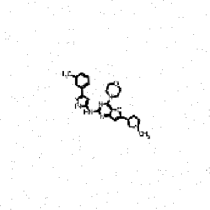 Cc1cccc(-c2cc(Nc3nc(N4CCOCC4)c4oc(C5CCN(C)C5)cc4n3)[nH]n2)c1